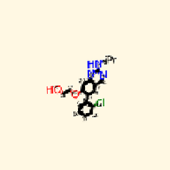 CC(C)Nc1ncc2cc(-c3ccccc3Cl)c(OCCO)cc2n1